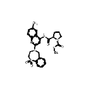 Cc1ccc2nc(N3CCS(=O)(=O)c4ccccc4C3)cc(NC(=O)C3CCCN3C(=O)OC(C)(C)C)c2c1